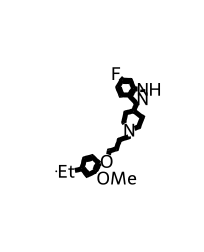 C[CH]c1ccc(OCCCCN2CCC(c3n[nH]c4cc(F)ccc34)CC2)c(OC)c1